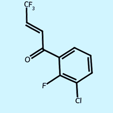 O=C(/C=C/C(F)(F)F)c1cccc(Cl)c1F